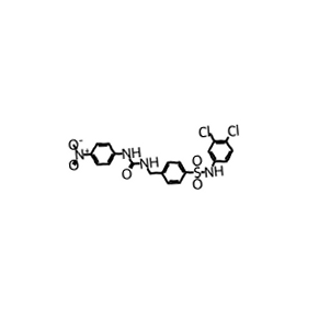 O=C(NCc1ccc(S(=O)(=O)Nc2ccc(Cl)c(Cl)c2)cc1)Nc1ccc([N+](=O)[O-])cc1